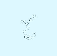 Cc1cc(-c2ccccc2)nc2c1ccc1ccc(-c3cccc(-c4cccc(-c5cc(-c6ccc(-c7ccccc7)cc6)nc(-c6ccccc6)n5)c4)c3)nc12